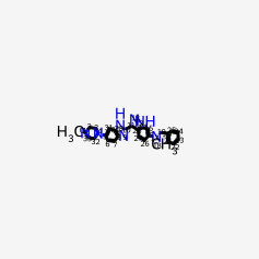 CN1CCN(c2ccc3nc(-c4n[nH]c5cc(N(C)Cc6ccccc6)ccc45)[nH]c3c2)CC1